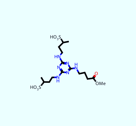 COC(=O)CCCNc1nc(NCCC(C)S(=O)(=O)O)nc(NCCC(C)S(=O)(=O)O)n1